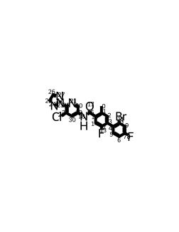 Cc1cc(-c2ccc(F)cc2Br)c(F)cc1C(=O)Nc1cnc(-n2nccn2)c(Cl)c1